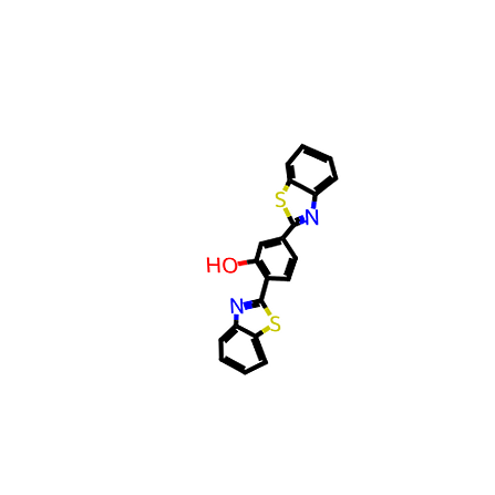 Oc1cc(-c2nc3ccccc3s2)ccc1-c1nc2ccccc2s1